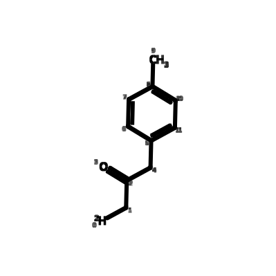 [2H]CC(=O)Cc1ccc(C)cc1